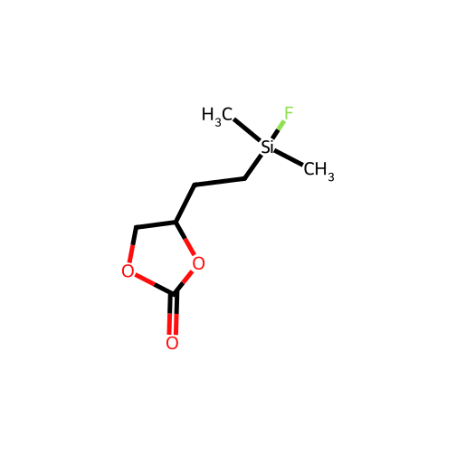 C[Si](C)(F)CCC1COC(=O)O1